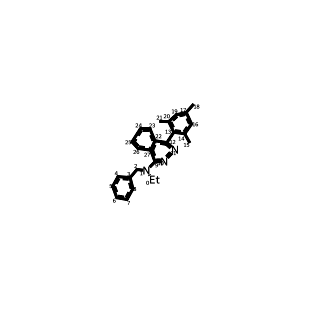 CCN(Cc1ccccc1)c1nnc(-c2c(C)cc(C)cc2C)c2ccccc12